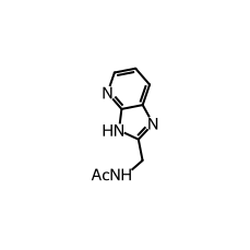 CC(=O)NCc1nc2cccnc2[nH]1